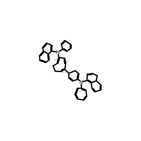 C1=CC=CC=C(N(C2=CCC(C3=C/CC/C=C(N(c4ccccc4)c4cccc5ccccc45)/C=C\3)C=C2)C2=C3C=CC=CC3CC=C2)C=1